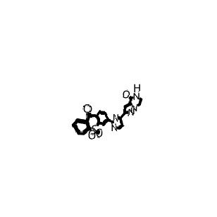 O=C1c2ccccc2S(=O)(=O)c2cc(-c3nccc(-c4cc5n(n4)CCNC5=O)n3)ccc21